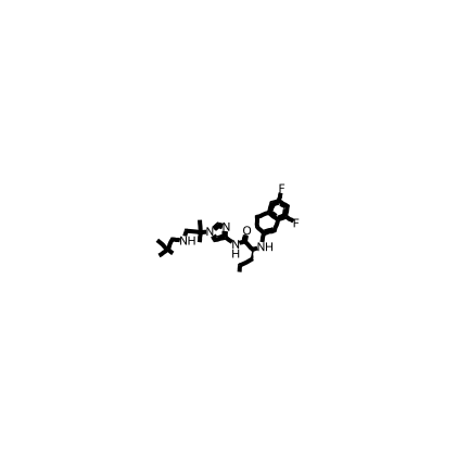 CCC[C@H](NC1=Cc2c(F)cc(F)cc2CC1)C(=O)Nc1cn(C(C)(C)CNCC(C)(C)C)cn1